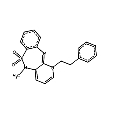 CN1C2=CC=CN(CCc3ccccc3)C2=Nc2ccccc2S1(=O)=O